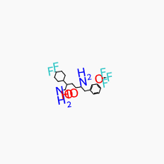 NC(=O)C(CC(O)C(N)Cc1cccc(OC(F)(F)F)c1)C1CCC(F)(F)CC1